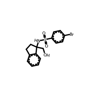 O=S(=O)(NC1(CO)CCc2ccccc21)c1ccc(Br)cc1